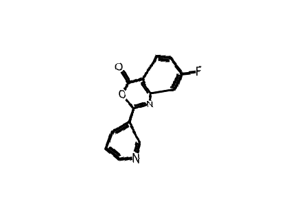 O=c1oc(-c2cccnc2)nc2cc(F)ccc12